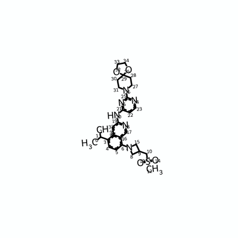 CC(C)c1ccc(N2CC(CS(C)(=O)=O)C2)c2cnc(Nc3ccnc(N4CCC5(CC4)OCCO5)n3)cc12